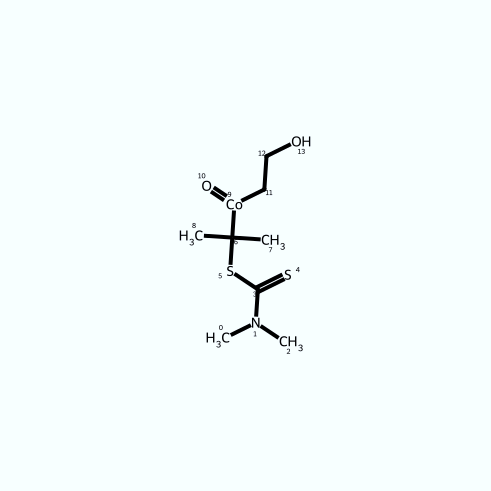 CN(C)C(=S)S[C](C)(C)[Co](=[O])[CH2]CO